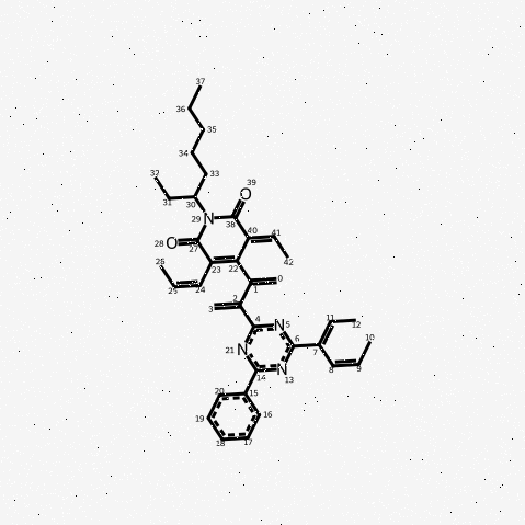 C=C(C(=C)c1nc(C(/C=C\C)=C/C)nc(-c2ccccc2)n1)C1=C(/C=C\C)C(=O)N(C(CC)CCCCC)C(=O)/C1=C/C